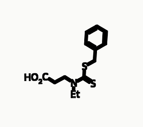 CCN(CCC(=O)O)C(=S)SCc1ccccc1